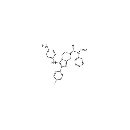 CO[C@H](C(=O)N1CCn2c(nc(-c3ccc(F)cc3)c2Nc2ccc(C)cc2)C1)c1ccccc1